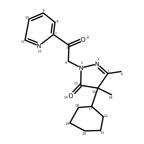 CC1=NN(CC(=O)c2ccccn2)C(=O)C1(C)C1CCCCC1